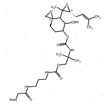 CNCC(=O)NCCCNC(=O)OCC(C)(C)NC(=O)OC1CC[C@]2(CO2)C(C2(C)O[C@@H]2CC=C(C)C)C1OC